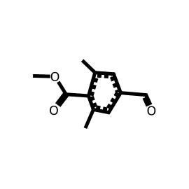 COC(=O)c1c(C)cc(C=O)cc1C